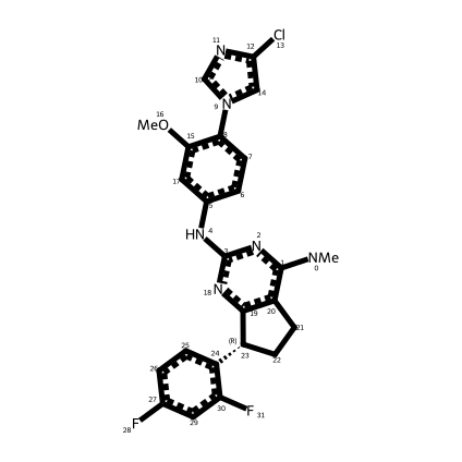 CNc1nc(Nc2ccc(-n3cnc(Cl)c3)c(OC)c2)nc2c1CC[C@@H]2c1ccc(F)cc1F